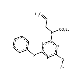 C=CCN(C(=O)OCC)c1nc(OCC)nc(Sc2ccccc2)n1